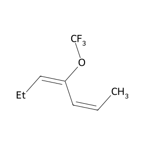 C/C=C\C(=C/CC)OC(F)(F)F